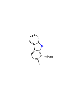 CCCCCc1c(C)ccc2c1[N]c1ccccc1-2